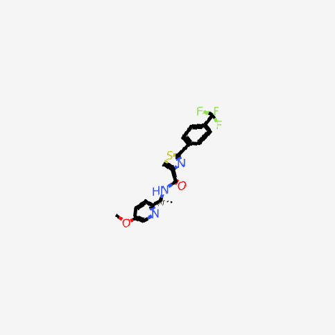 COc1ccc([C@@H](C)NC(=O)c2csc(-c3ccc(C(F)(F)F)cc3)n2)nc1